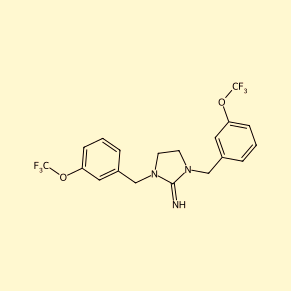 N=C1N(Cc2cccc(OC(F)(F)F)c2)CCN1Cc1cccc(OC(F)(F)F)c1